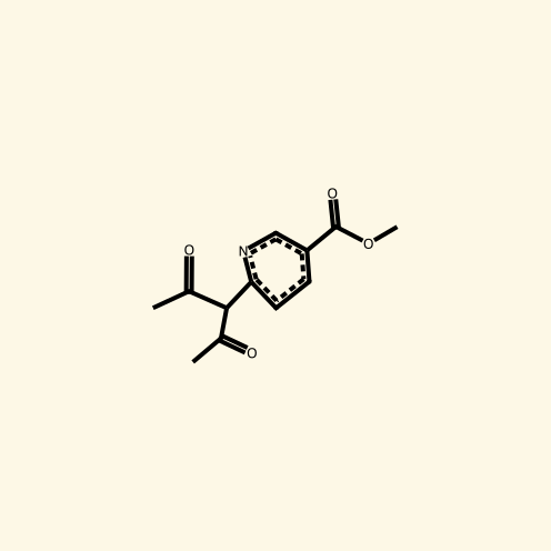 COC(=O)c1ccc(C(C(C)=O)C(C)=O)nc1